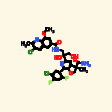 COc1cc(C(=O)NC[C@@](O)(CO)c2cc3c(c(-c4cc(Cl)c(F)cc4F)n2)OC[C@]3(C)C(N)=O)cc2cc(Cl)c(C)nc12